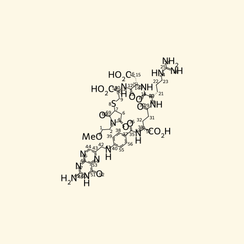 COCCN1C(=O)CC(SC[C@H](NC(=O)[C@H](CC(=O)O)NC(=O)[C@H](CCCNC(=N)N)NC(=O)CC[C@H](NC(=O)c2ccc(NCc3cnc4nc(N)[nH]c(=O)c4n3)cc2)C(=O)O)C(=O)O)C1=O